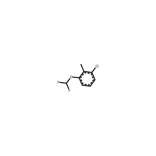 Cc1c(Cl)cccc1OC(F)F